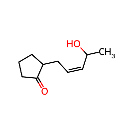 CC(O)/C=C\CC1CCCC1=O